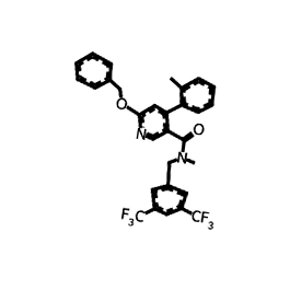 Cc1ccccc1-c1cc(OCc2ccccc2)ncc1C(=O)N(C)Cc1cc(C(F)(F)F)cc(C(F)(F)F)c1